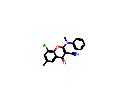 Cc1cc(Br)c2oc(N(C)c3ccccc3)c(C#N)c(=O)c2c1